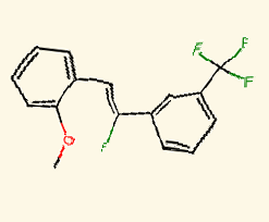 COc1ccccc1C=C(F)c1cccc(C(F)(F)F)c1